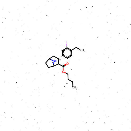 CCCCOC(=O)C1C2CCC(C[C@@H]1c1ccc(CC)c(I)c1)N2